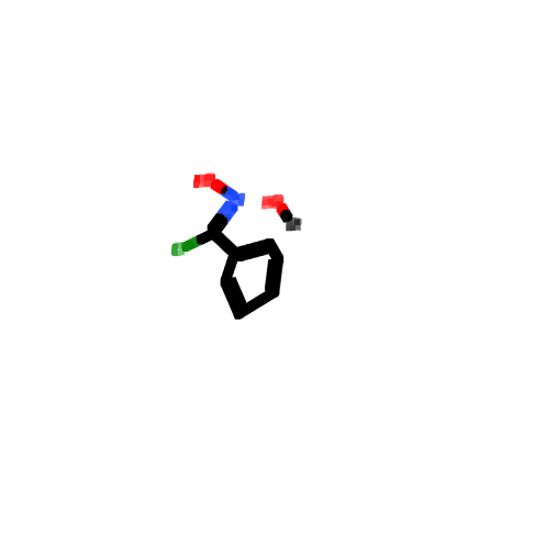 CCO.ON=C(Cl)c1ccccc1